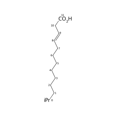 CC(C)CCCCCCC/C=C/CC(=O)O